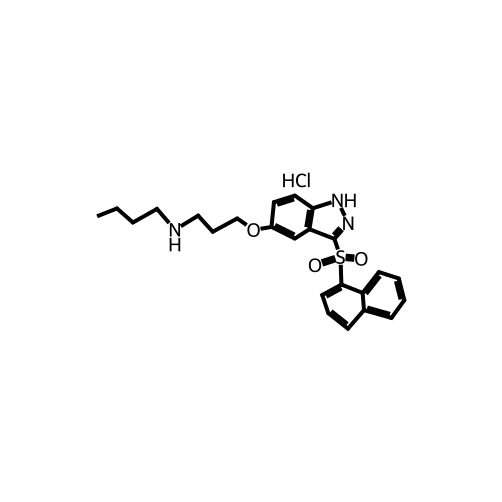 CCCCNCCCOc1ccc2[nH]nc(S(=O)(=O)c3cccc4ccccc34)c2c1.Cl